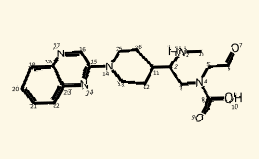 CNC(CN(CC=O)C(=O)O)C1CCN(c2cnc3ccccc3n2)CC1